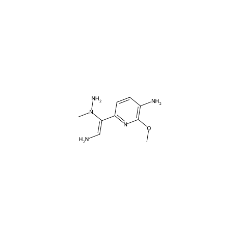 COc1nc(/C(=C/N)N(C)N)ccc1N